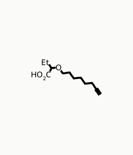 C#CCCCCCCOC(CC)C(=O)O